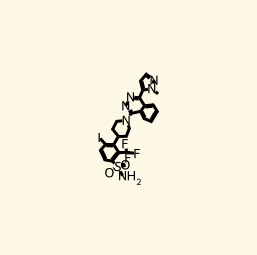 Cn1nccc1-c1nnc(N2CCC(c3c(I)ccc(S(N)(=O)=O)c3C(F)(F)F)CC2)c2ccccc12